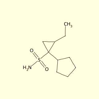 CCC1CC1(C1CCCC1)S(N)(=O)=O